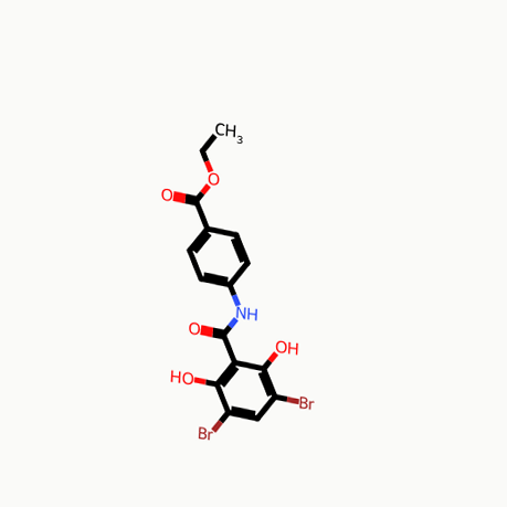 CCOC(=O)c1ccc(NC(=O)c2c(O)c(Br)cc(Br)c2O)cc1